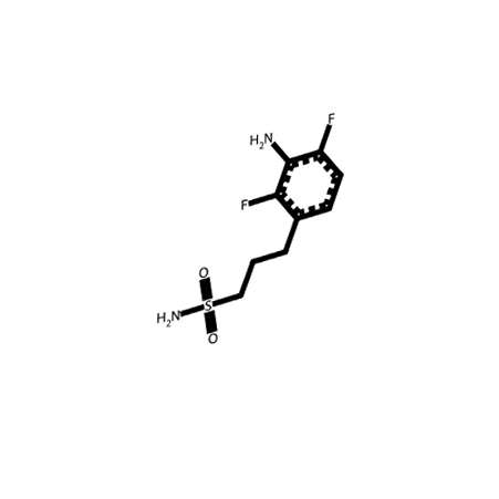 Nc1c(F)ccc(CCCS(N)(=O)=O)c1F